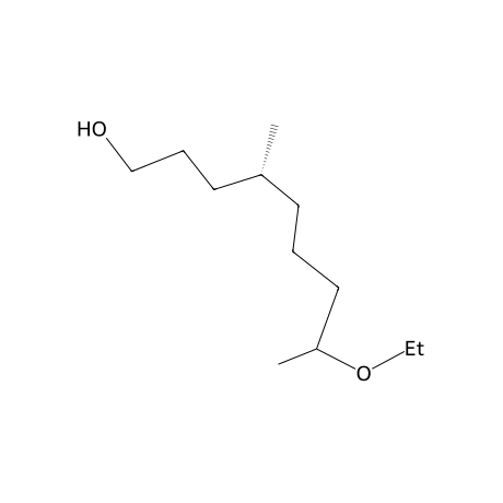 CCOC(C)CCC[C@@H](C)CCCO